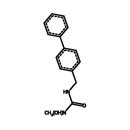 CN(O)C(=O)NCc1ccc(-c2ccccc2)cc1